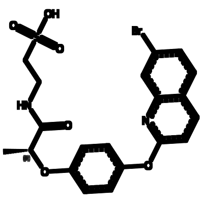 C[C@@H](Oc1ccc(Oc2ccc3ccc(Br)cc3n2)cc1)C(=O)NCCS(=O)(=O)O